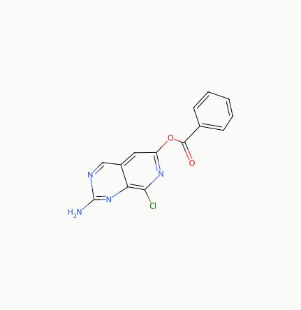 Nc1ncc2cc(OC(=O)c3ccccc3)nc(Cl)c2n1